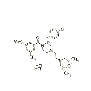 CSc1cc(C(=O)N2CCN(CCN3C[C@@H](C)O[C@@H](C)C3)C[C@H]2Cc2ccc(Cl)cc2)cc(C(F)(F)F)c1.Cl.Cl